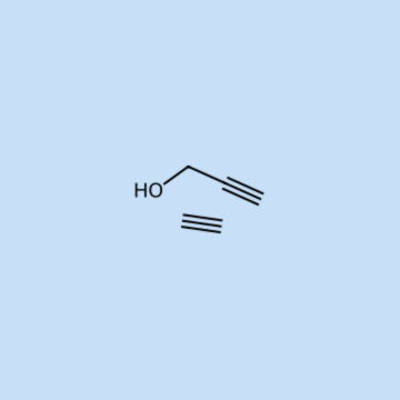 C#C.C#CCO